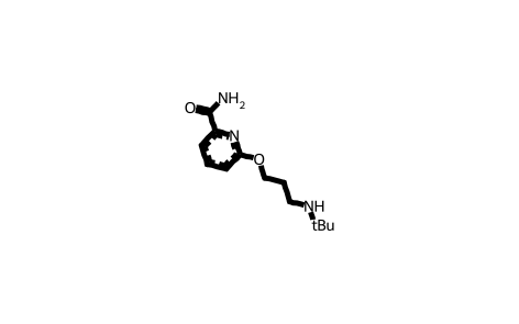 CC(C)(C)NCCCOc1cccc(C(N)=O)n1